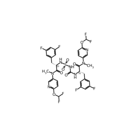 CN(C(=O)[C@H](Cc1cc(F)cc(F)c1)NC(=O)NS(=O)(=O)N[C@@H](Cc1cc(F)cc(F)c1)C(=O)N(C)c1ccc(OC(F)F)nc1)c1ccc(OC(F)F)nc1